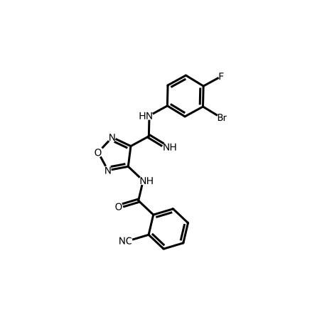 N#Cc1ccccc1C(=O)Nc1nonc1C(=N)Nc1ccc(F)c(Br)c1